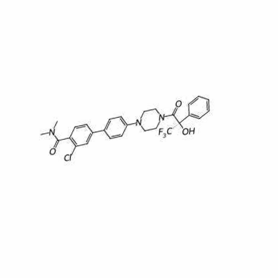 CN(C)C(=O)c1ccc(-c2ccc(N3CCN(C(=O)[C@](O)(c4ccccc4)C(F)(F)F)CC3)cc2)cc1Cl